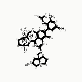 Cc1nc(N)cc(-c2nc3c4c(nc(OC[C@@]56CCCN5C[C@H](F)C6)nc4c2F)N2C[C@H]4CC[C@H](N4)[C@H]2[C@H](C)O3)c1OC(F)F